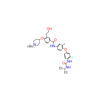 CCCCN1CCC(Oc2ccc(C(=O)Nc3ccc(Oc4ccc(NC(=O)NC(CC)CC)c(F)c4)c(C)c3)cc2CCO)CC1